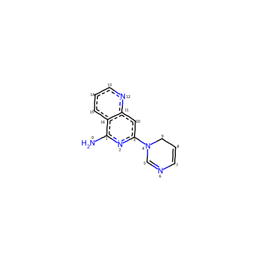 Nc1nc(N2C=NC=CC2)cc2ncccc12